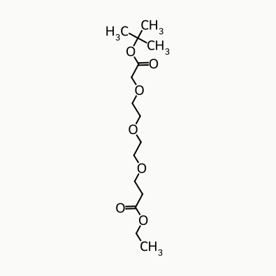 CCOC(=O)CCOCCOCCOCC(=O)OC(C)(C)C